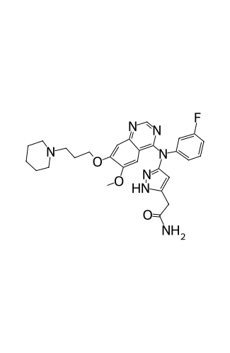 COc1cc2c(N(c3cccc(F)c3)c3cc(CC(N)=O)[nH]n3)ncnc2cc1OCCCN1CCCCC1